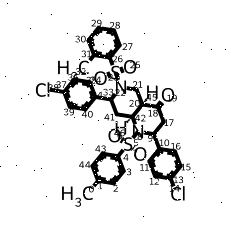 Cc1ccc(S(=O)(=O)N2C(c3ccc(Cl)cc3)CC(=O)[C@@H]3CN(S(=O)(=O)c4ccccc4C)C(c4ccc(Cl)cc4)C[C@@H]32)cc1